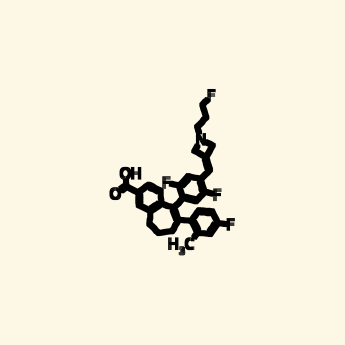 Cc1cc(F)ccc1C1=C(c2cc(F)c(C=C3CN(CCCF)C3)cc2F)c2ccc(C(=O)O)cc2CCC1